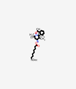 CCCCCCCCCCCCCCCCCC(=O)ON=C1CC(C)(CC)N(OC(C)c2ccccc2)C(C)(CC)C1C